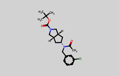 CC(=O)N(Cc1cccc(Cl)c1)[C@@H]1C[C@@H]2CN(C(=O)OC(C)(C)C)C[C@@H]2C1